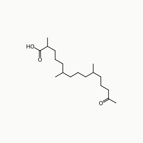 CC(=O)CCCC(C)CCCC(C)CCCC(C)C(=O)O